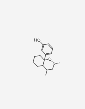 CC1CN(C)OC2(c3cccc(O)c3)CCCCC12